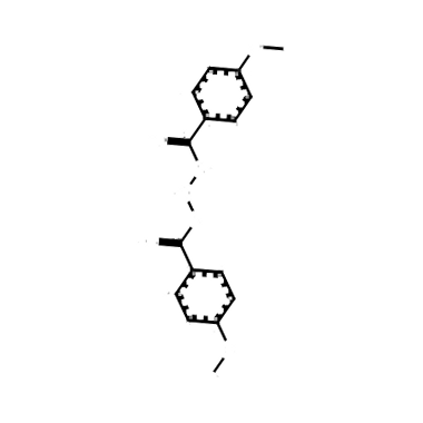 COc1ccc(C(=O)SOSC(=O)c2ccc(OC)cc2)cc1